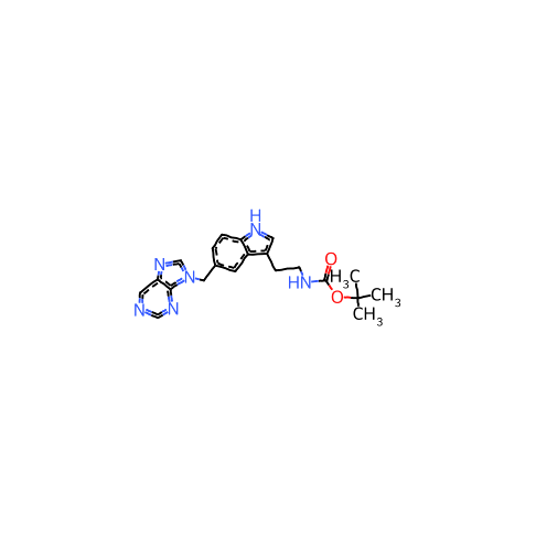 CC(C)(C)OC(=O)NCCc1c[nH]c2ccc(Cn3cnc4cncnc43)cc12